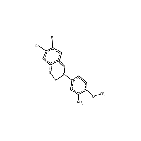 O=[N+]([O-])c1cc(N2C=c3cc(F)c(Br)cc3=NC2)ccc1OC(F)(F)F